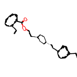 CCCc1ccc(CC[C@H]2CC[C@H](CCOC(=O)c3ccccc3CC)CC2)cc1